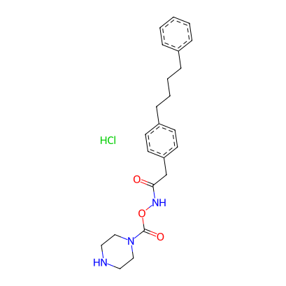 Cl.O=C(Cc1ccc(CCCCc2ccccc2)cc1)NOC(=O)N1CCNCC1